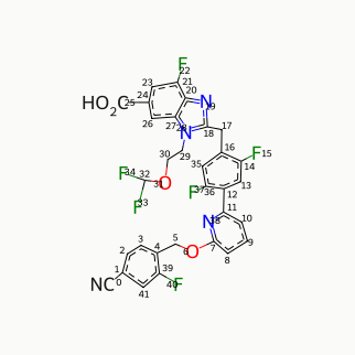 N#Cc1ccc(COc2cccc(-c3cc(F)c(Cc4nc5c(F)cc(C(=O)O)cc5n4CCOC(F)F)cc3F)n2)c(F)c1